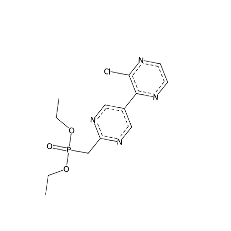 CCOP(=O)(Cc1ncc(-c2nccnc2Cl)cn1)OCC